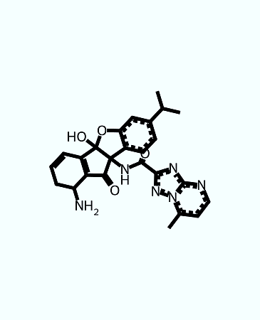 Cc1ccnc2nc(C(=O)NC34C(=O)C5=C(C=CCC5N)C3(O)Oc3cc(C(C)C)ccc34)nn12